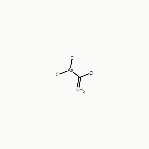 C=C(Cl)[As](Cl)Cl